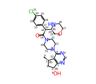 C[C@@H]1C[C@@H](O)c2ncnc(N3CCN(C(=O)[C@@H](c4ccc(Cl)cc4)[C@@H]4COCCN4)CC3)c21